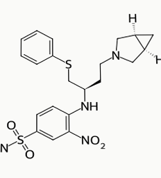 NS(=O)(=O)c1ccc(N[C@H](CCN2C[C@H]3C[C@H]3C2)CSc2ccccc2)c([N+](=O)[O-])c1